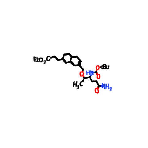 CCOC(=O)CCc1ccc2ccc(CO[C@H](C)[C@H](CCC(N)=O)NC(=O)OC(C)(C)C)cc2c1